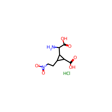 Cl.NC(C(=O)O)C1C(CC[N+](=O)[O-])C1C(=O)O